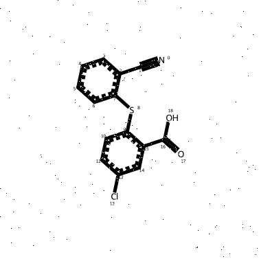 N#Cc1ccccc1Sc1ccc(Cl)cc1C(=O)O